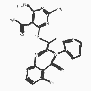 CC(Nc1nc(N)nc(N)c1C(N)=O)c1nc2cccc(Cl)c2c(=O)n1-c1cccnc1